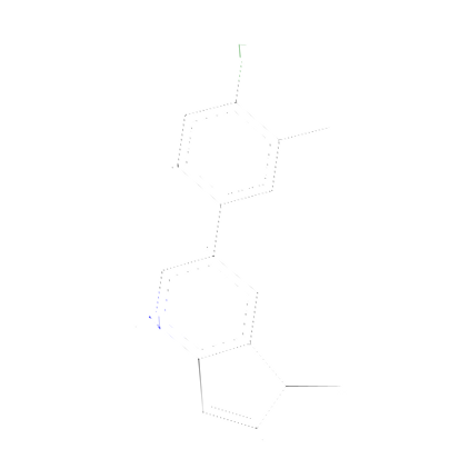 Cc1cc(-c2cnc3c(c2)C(C)C=C3)ccc1F